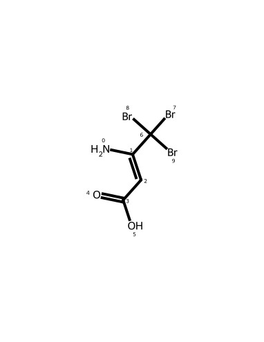 NC(=CC(=O)O)C(Br)(Br)Br